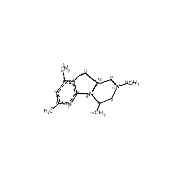 Cc1cc(C)c2c(n1)N1C(C)CN(C)CC1C2